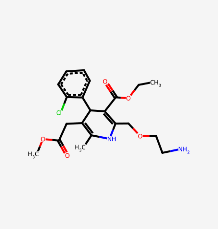 CCOC(=O)C1=C(COCCN)NC(C)=C(CC(=O)OC)C1c1ccccc1Cl